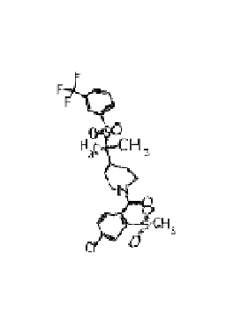 CC(C)(C1CCN(C(=O)c2ccc(Cl)cc2S(C)(=O)=O)CC1)S(=O)(=O)c1cccc(C(F)(F)F)c1